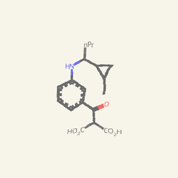 CCCC(Nc1cccc(C(=O)C(C(=O)O)C(=O)O)c1)C1CC1C